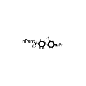 CCCCCC(=O)[C@H]1CC[C@H](C2CC[C@H](CCC)C[C@H]2C)CC1